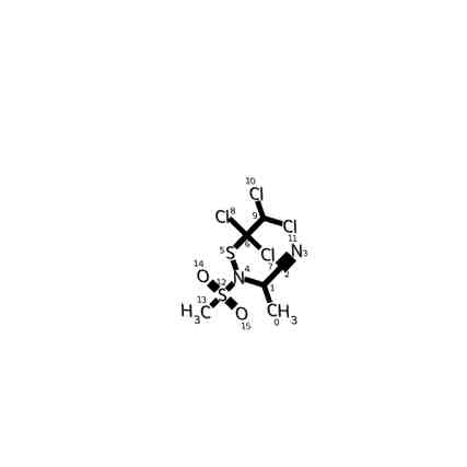 CC(C#N)N(SC(Cl)(Cl)C(Cl)Cl)S(C)(=O)=O